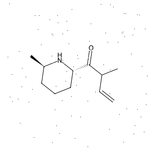 C=CC(C)C(=O)[C@@H]1CCC[C@@H](C)N1